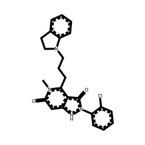 Cn1c(CCCN2CCc3ccccc32)c2c(=O)n(-c3ccccc3Cl)[nH]c2cc1=O